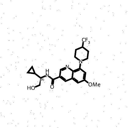 COc1cc(N2CCC(C(F)(F)F)CC2)c2ncc(C(=O)N[C@@H](CO)C3CC3)cc2c1